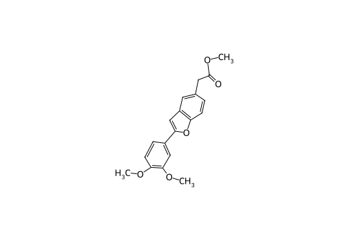 COC(=O)Cc1ccc2oc(-c3ccc(OC)c(OC)c3)cc2c1